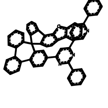 c1ccc(-c2ncc(-c3cc(-c4ccc5c(c4)C4(c6ccccc6-c6ccccc6-5)c5ccccc5-c5c4ccc4c5oc5ccccc54)nc(-c4ccccc4)n3)cn2)cc1